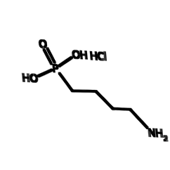 Cl.NCCCCP(=O)(O)O